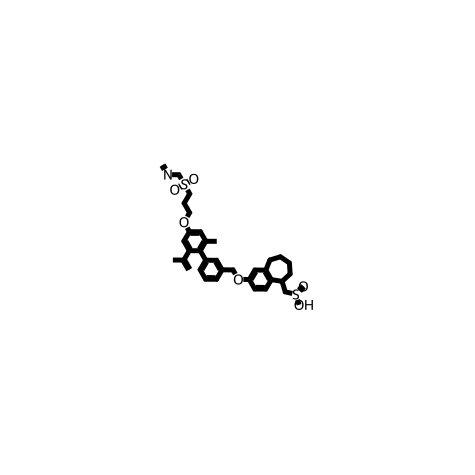 C=NCS(=O)(=O)CCCOc1cc(C)c(-c2cccc(COc3ccc4c(c3)CCCCC4CS(=O)O)c2)c(C(=C)C)c1